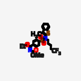 CCO/C(=N/C(=O)OC)c1ccc(S(=O)(=O)N(CCCCC(F)(F)F)c2sc3ccccc3c2C)cc1